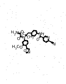 COc1cc(N(C(=O)C(N)=O)C(C)(C)Cc2ccc(NC(=O)c3ccc(C#N)nc3)cc2)ccc1-c1cnco1